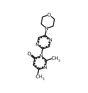 Cc1cc(=O)n(-c2cnc(N3CCOCC3)cn2)c(C)n1